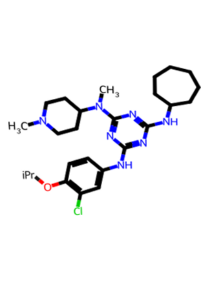 CC(C)Oc1ccc(Nc2nc(NC3CCCCCC3)nc(N(C)C3CCN(C)CC3)n2)cc1Cl